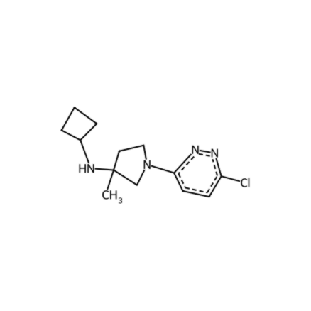 CC1(NC2CCC2)CCN(c2ccc(Cl)nn2)C1